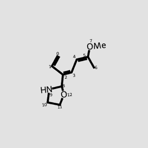 C=C/C(=C\C=C(/C)OC)C1NCCO1